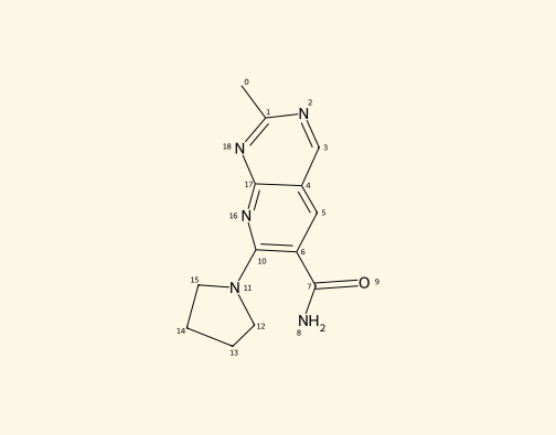 Cc1ncc2cc(C(N)=O)c(N3CCCC3)nc2n1